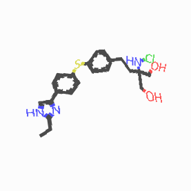 CCc1nc(-c2ccc(Sc3ccc(CCC(CO)(CO)NCl)cc3)cc2)c[nH]1